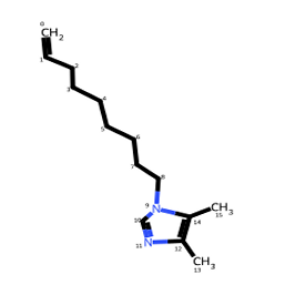 C=CCCCCCCCn1cnc(C)c1C